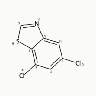 Clc1cc(Cl)c2scnc2c1